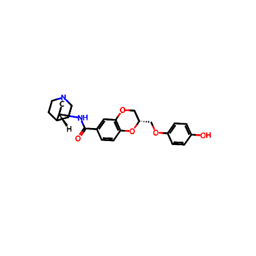 O=C(N[C@H]1CN2CCC1CC2)c1ccc2c(c1)OC[C@H](COc1ccc(O)cc1)O2